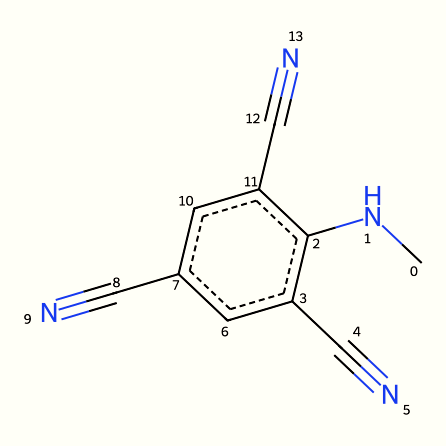 CNc1c(C#N)cc(C#N)cc1C#N